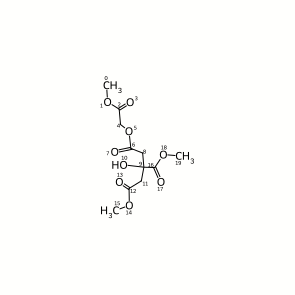 COC(=O)COC(=O)CC(O)(CC(=O)OC)C(=O)OC